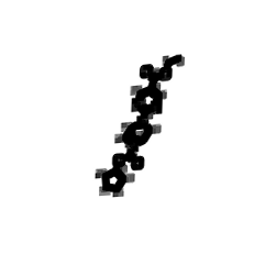 CCOC(=O)c1cnc(N2CC3CC2CN3C(=O)OC2CCCC2)nc1